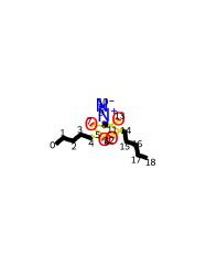 CCCCCS(=O)(=O)C(=[N+]=[N-])S(=O)(=O)CCCCC